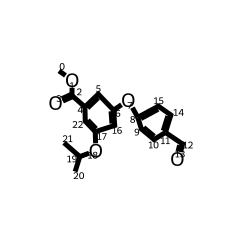 COC(=O)c1cc(Oc2ccc(C=O)cc2)cc(OC(C)C)c1